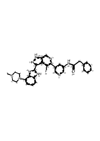 CN1CCN(c2cccc3[nH]c(-c4n[nH]c5cnc(-c6cncc(NC(=O)Cc7ccccc7)c6)c(F)c45)nc23)CC1